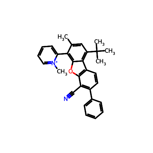 Cc1cc(C(C)(C)C)c2c(oc3c(C#N)c(-c4ccccc4)ccc32)c1-c1cccc[n+]1C